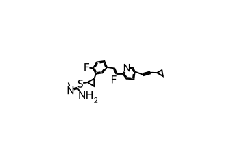 C/N=C(/N)SC1CC1c1cc(/C=C(\F)c2ccc(C#CC3CC3)cn2)ccc1F